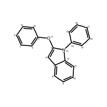 [c]1ccc(Oc2cc3ccccc3n2-c2ccccc2)cc1